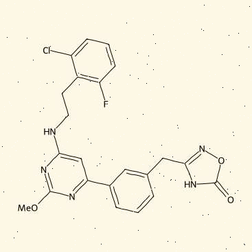 COc1nc(NCCc2c(F)cccc2Cl)cc(-c2cccc(Cc3noc(=O)[nH]3)c2)n1